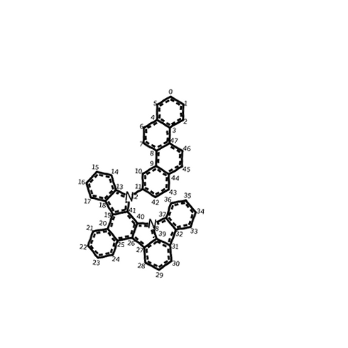 c1ccc2c(c1)ccc1c3cc(-n4c5ccccc5c5c6ccccc6c6c7cccc8c9ccccc9n(c87)c6c54)ccc3ccc21